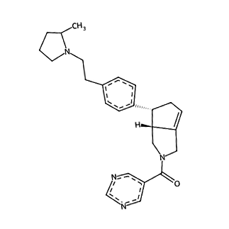 CC1CCCN1CCc1ccc([C@@H]2CC=C3CN(C(=O)c4cncnc4)C[C@@H]32)cc1